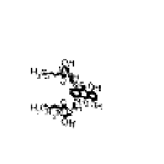 CSCC[C@H](N)C(=O)N(CCO)CCNc1ccc(NCCN(CCO)C(=O)[C@@H](N)CCSC)c2c1C(=O)c1c(O)ccc(O)c1C2=O